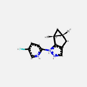 Fc1ccc(-n2ncc3c2[C@@H]2C[C@@H]2C3)nc1